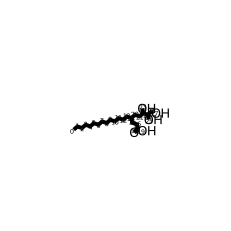 CCCCCCCCCCCCCCC(CCC(=O)O)CCC(O)C(O)CO